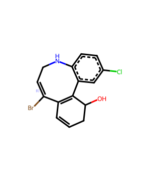 OC1CC=CC2=C1c1cc(Cl)ccc1NC/C=C\2Br